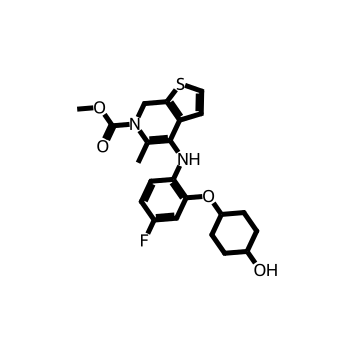 COC(=O)N1Cc2sccc2C(Nc2ccc(F)cc2OC2CCC(O)CC2)=C1C